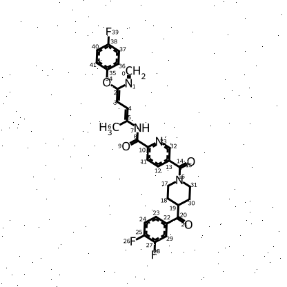 C=N/C(=C\C=C(/C)NC(=O)c1ccc(C(=O)N2CCC(C(=O)c3ccc(F)c(F)c3)CC2)cn1)Oc1ccc(F)cc1